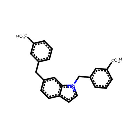 O=C(O)c1cccc(Cc2ccc3ccn(Cc4cccc(C(=O)O)c4)c3c2)c1